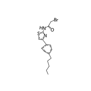 CCCCCc1ccc(-c2csc(NC(=O)CBr)n2)cc1